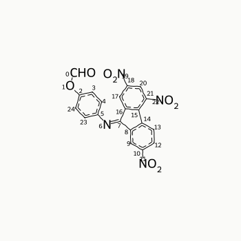 O=COc1ccc(N=C2c3cc([N+](=O)[O-])ccc3-c3c2cc([N+](=O)[O-])cc3[N+](=O)[O-])cc1